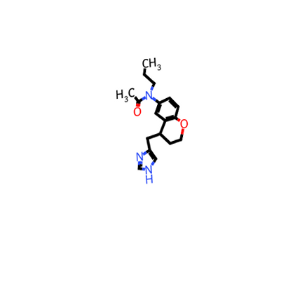 CCCN(C(C)=O)c1ccc2c(c1)C(Cc1c[nH]cn1)CCO2